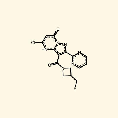 O=C(c1c(-c2ncccn2)nn2c(=O)cc(Cl)[nH]c12)N1CC(CF)C1